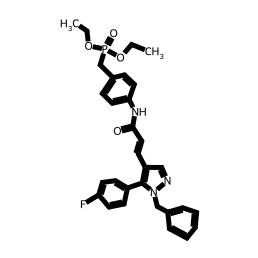 CCOP(=O)(Cc1ccc(NC(=O)/C=C/c2cnn(Cc3ccccc3)c2-c2ccc(F)cc2)cc1)OCC